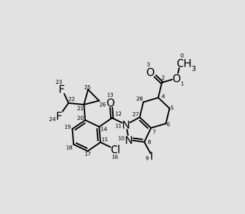 COC(=O)C1CCc2c(I)nn(C(=O)c3c(Cl)cccc3C3(C(F)F)CC3)c2C1